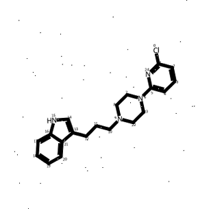 Clc1cccc(N2CCN(CCCc3c[nH]c4ccccc34)CC2)n1